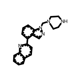 c1ccc2nc(-c3cccc4c3cnn4CN3CCNCC3)ccc2c1